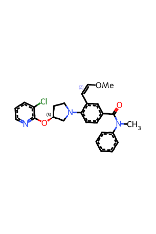 CO/C=C\c1cc(C(=O)N(C)c2ccccc2)ccc1N1CC[C@H](Oc2ncccc2Cl)C1